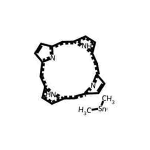 C1=Cc2cc3ccc(cc4nc(cc5ccc(cc1n2)[nH]5)C=C4)[nH]3.[CH3][Sn][CH3]